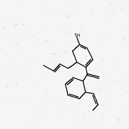 C=C(C1=CC=C(S)CC1CC=CC)C1C=CC=CC1/C=C\C